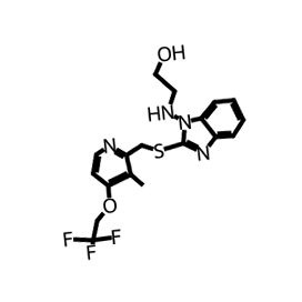 Cc1c(OCC(F)(F)F)ccnc1CSc1nc2ccccc2n1NCCO